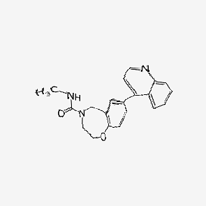 CNC(=O)N1CCOc2ccc(-c3ccnc4ccccc34)cc2C1